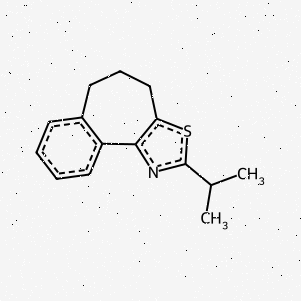 CC(C)c1nc2c(s1)CCCc1ccccc1-2